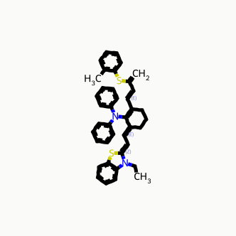 C=C(/C=C/C1=C(N(c2ccccc2)c2ccccc2)C(=C/C=C2\Sc3ccccc3N2CC)/CCC1)Sc1ccccc1C